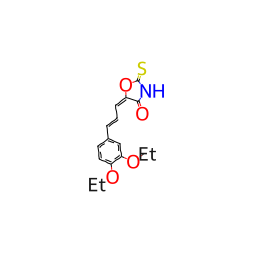 CCOc1ccc(C=CC=C2OC(=S)NC2=O)cc1OCC